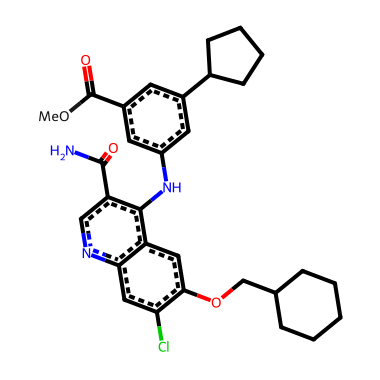 COC(=O)c1cc(Nc2c(C(N)=O)cnc3cc(Cl)c(OCC4CCCCC4)cc23)cc(C2CCCC2)c1